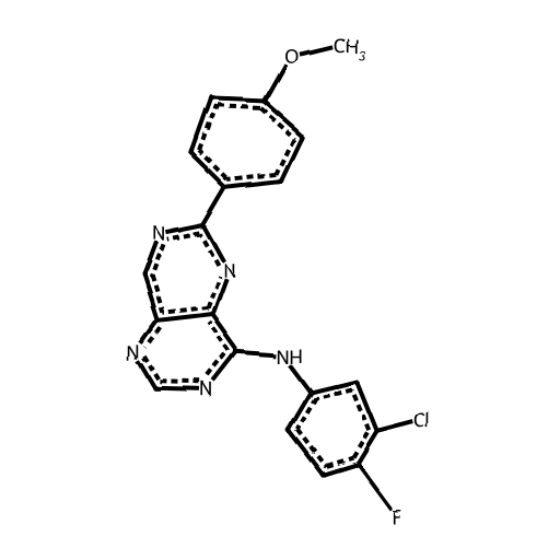 COc1ccc(-c2ncc3ncnc(Nc4ccc(F)c(Cl)c4)c3n2)cc1